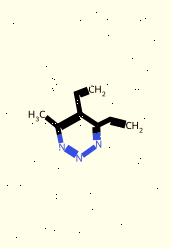 C=Cc1nnnc(C)c1C=C